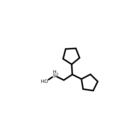 O[SiH2]CC(C1CCCC1)C1CCCC1